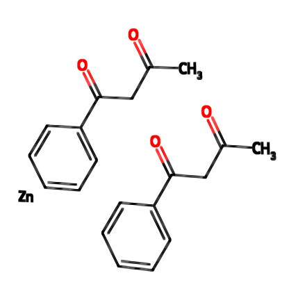 CC(=O)CC(=O)c1ccccc1.CC(=O)CC(=O)c1ccccc1.[Zn]